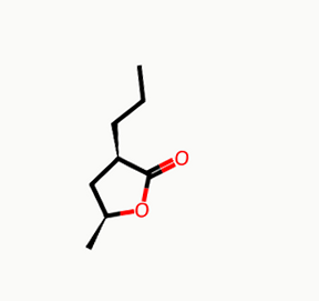 CCC[C@@H]1C[C@H](C)OC1=O